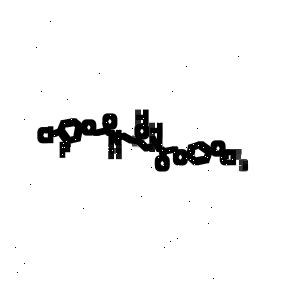 O=C(COc1ccc(Cl)c(F)c1)NCC[C@H](O)CNC(=O)COc1ccc(OC(F)(F)F)cc1